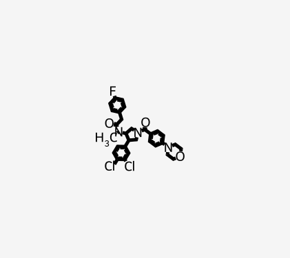 CN(C(=O)Cc1ccc(F)cc1)C1CN(C(=O)c2ccc(N3CCOCC3)cc2)CC1c1ccc(Cl)c(Cl)c1